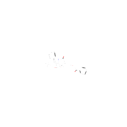 C[C@]1(O)[C@@H](CCOC(=O)c2ccccc2)C(=O)N[C@]1(CO)[C@H](O[Si](C)(C)C)[C@@H]1C=CCCC1